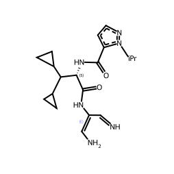 CC(C)n1nccc1C(=O)N[C@H](C(=O)N/C(C=N)=C/N)C(C1CC1)C1CC1